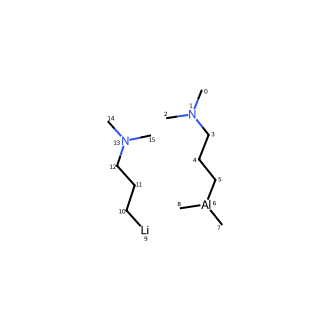 CN(C)CC[CH2][Al]([CH3])[CH3].[Li][CH2]CCN(C)C